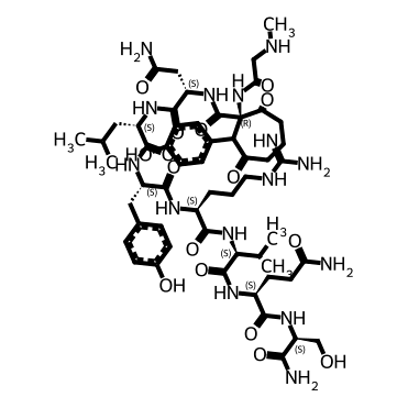 CNCC(=O)N[C@@]1(C(=O)N[C@@H](CC(N)=O)C(=O)N[C@@H](CC(C)C)C(=O)N[C@@H](Cc2ccc(O)cc2)C(=O)N[C@@H](CCCNC(=N)N)C(=O)N[C@H](C(=O)N[C@@H](CCC(N)=O)C(=O)N[C@@H](CO)C(N)=O)C(C)C)C(=O)CCCC(=O)C1c1ccc(O)cc1